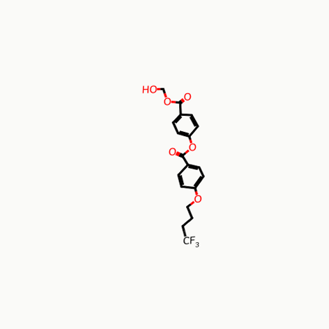 O=C(OCO)c1ccc(OC(=O)c2ccc(OCCCC(F)(F)F)cc2)cc1